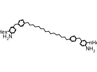 CCCCCCc1cc(Cc2ccc(CCCCCCCCCCCCCCCCc3ccc(Cc4ccc(N)c(CCCCCC)c4)cc3)cc2)ccc1N